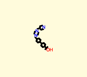 CC(C)(O)c1ccc(-c2ccc(CN3CCN(Cc4ccncc4)CC3)cc2)cc1